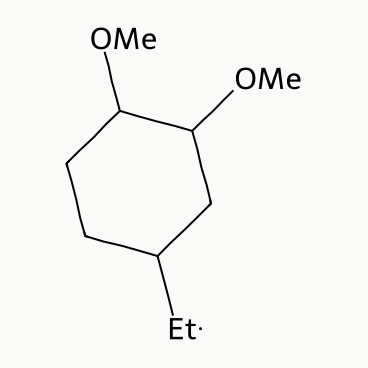 C[CH]C1CCC(OC)C(OC)C1